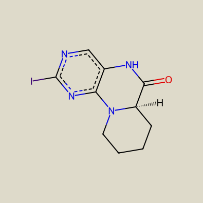 O=C1Nc2cnc(I)nc2N2CCCC[C@H]12